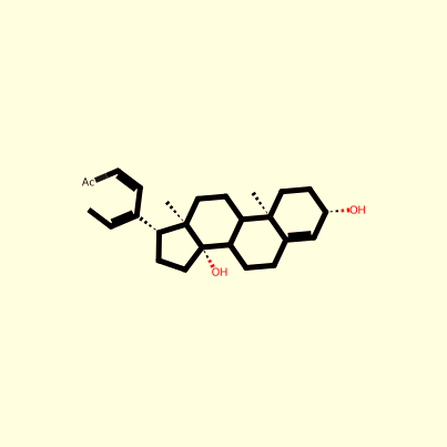 C/C=C(\C=C/C(C)=O)[C@H]1CC[C@]2(O)C3CCC4=C[C@@H](O)CC[C@]4(C)C3CC[C@]12C